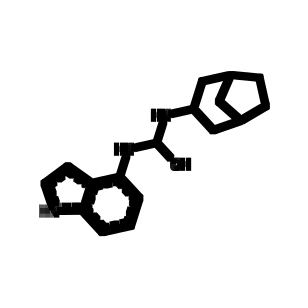 OC(Nc1cccc2[nH]ccc12)NC1CC2CCC(C2)C1